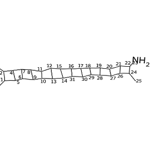 CC1C(C)C2C1C1C2C2C1C1C2C2C1C1C2C2C3C4C5C6C7C(N)C(C)C7C6C5C4C3C12